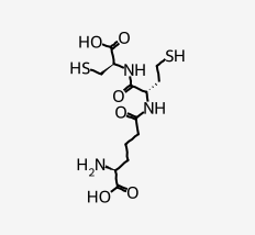 N[C@@H](CCCC(=O)N[C@@H](CCS)C(=O)N[C@@H](CS)C(=O)O)C(=O)O